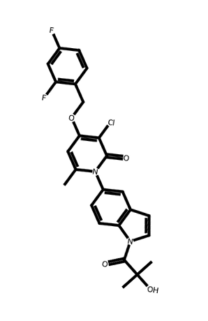 Cc1cc(OCc2ccc(F)cc2F)c(Cl)c(=O)n1-c1ccc2c(ccn2C(=O)C(C)(C)O)c1